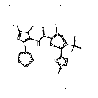 CC1=NC(c2ccccc2)=C(NC(=O)c2cc(-c3ccn(C)n3)c(C(F)(F)F)cc2F)C1C